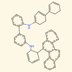 C1=CCCC(C2=CC=C(Nc3ccccc3-c3cccc(NC4C=CC=CC4c4cc5ccccc5c5ccc6ccccc6c45)c3)CC2)=C1